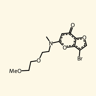 COCCOCCN(C)c1cc(=O)c2occ(Br)c2o1